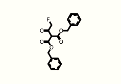 O=C(CF)C(C(=O)OCc1ccccc1)C(=O)OCc1ccccc1